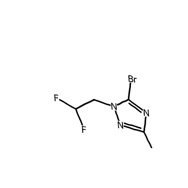 Cc1nc(Br)n(CC(F)F)n1